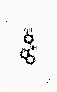 Oc1ccc(Nc2nccc3ccccc23)cc1